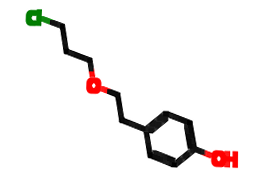 Oc1ccc(CCOCCCCl)cc1